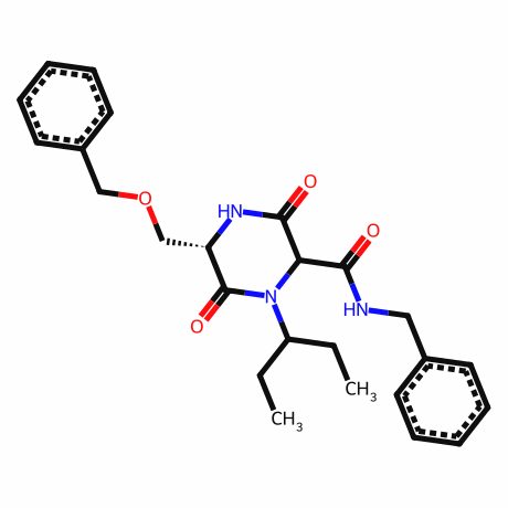 CCC(CC)N1C(=O)[C@H](COCc2ccccc2)NC(=O)C1C(=O)NCc1ccccc1